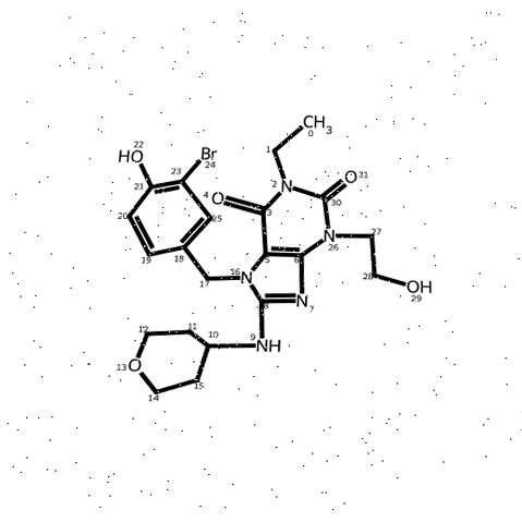 CCn1c(=O)c2c(nc(NC3CCOCC3)n2Cc2ccc(O)c(Br)c2)n(CCO)c1=O